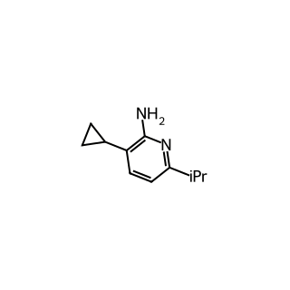 CC(C)c1ccc(C2CC2)c(N)n1